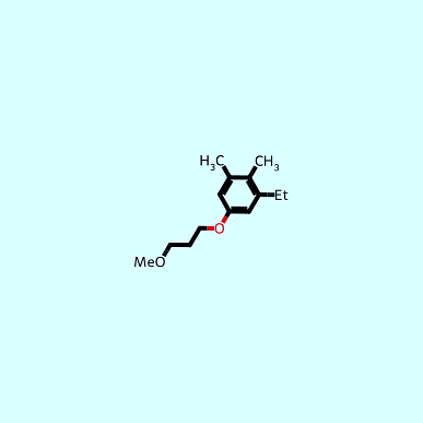 CCc1cc(OCCCOC)cc(C)c1C